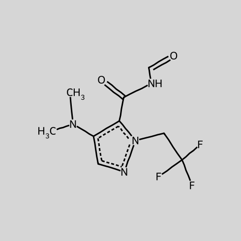 CN(C)c1cnn(CC(F)(F)F)c1C(=O)NC=O